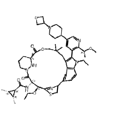 CCO[C@@H]1C2=NC(CS2)c2ccc3c(c2)c(c(-c2cc(C4CCN(C5COC5)CC4)cnc2[C@H](C)OC)n3CC)CC(C)(C)COC(=O)[C@@H]2CCCN(N2)C(=O)[C@H]1NC(=O)[C@H]1[C@H](C)[C@@H]1C